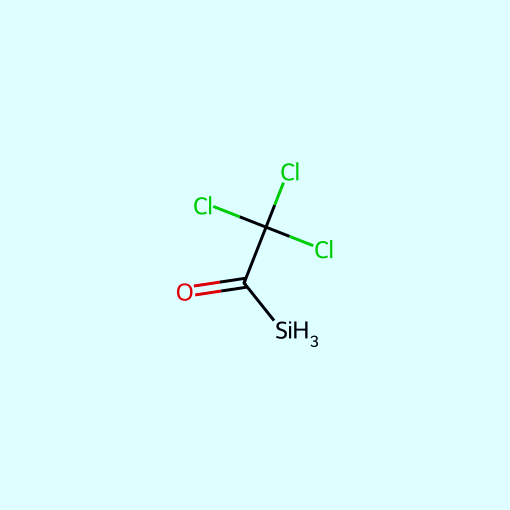 O=C([SiH3])C(Cl)(Cl)Cl